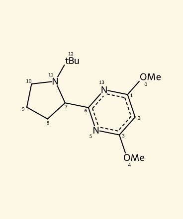 COc1cc(OC)nc(C2CCCN2C(C)(C)C)n1